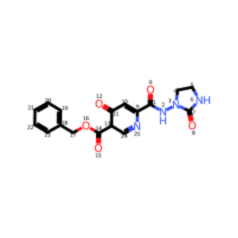 O=C(NN1CCNC1=O)C1=CC(=O)C(C(=O)OCc2ccccc2)C=N1